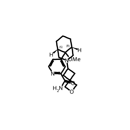 COC1(c2ccnc(C(N)=O)c2)[C@@H]2CCC[C@H]1CN(C1CC3(COC3)C1)C2